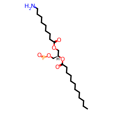 CCCCCCCCCCCC(=O)O[C@@H](COP=O)COC(=O)CCCCCCCCN